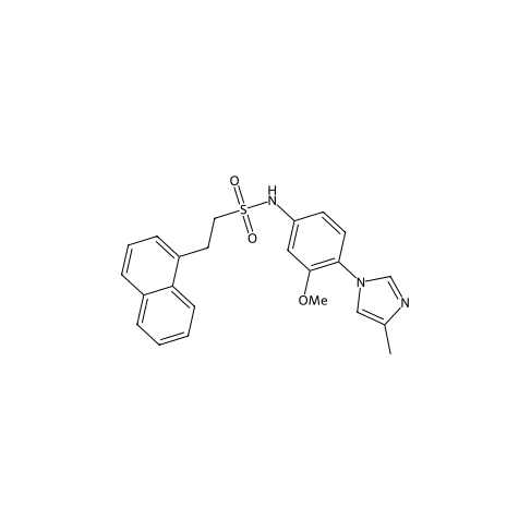 COc1cc(NS(=O)(=O)CCc2cccc3ccccc23)ccc1-n1cnc(C)c1